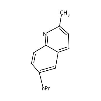 CCCc1ccc2nc(C)ccc2c1